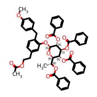 COc1ccc(Cc2ccc(CCOC(C)=O)cc2O[C@@H]2O[C@H]([C@@H](C)OC(=O)c3ccccc3)[C@@H](OC(=O)c3ccccc3)[C@H](OC(=O)c3ccccc3)[C@H]2OC(=O)c2ccccc2)cc1